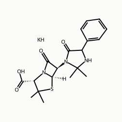 CC1(C)S[C@@H]2[C@H](N3C(=O)C(c4ccccc4)NC3(C)C)C(=O)N2[C@H]1C(=O)O.[KH]